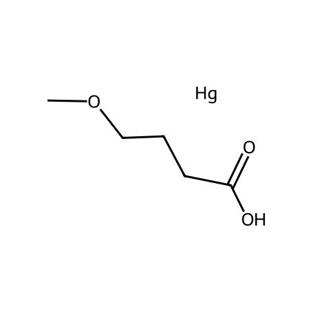 COCCCC(=O)O.[Hg]